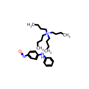 CCCC[N+](CCCC)(CCCC)CCCC.O=Nc1ccc(Nc2ccccc2)cc1